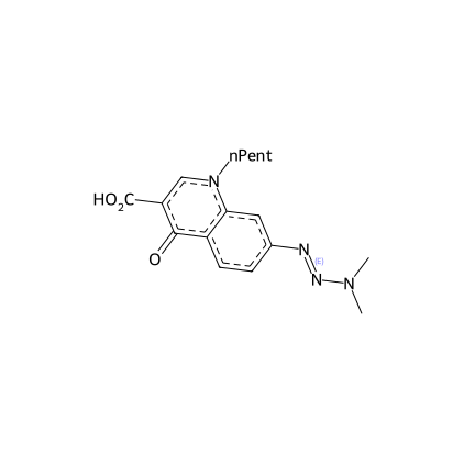 CCCCCn1cc(C(=O)O)c(=O)c2ccc(/N=N/N(C)C)cc21